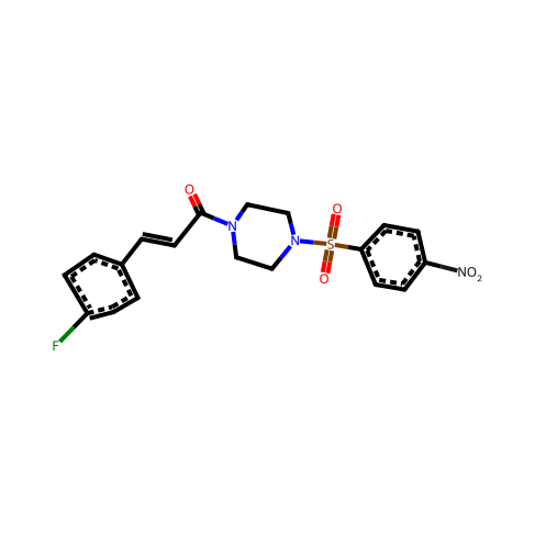 O=C(C=Cc1ccc(F)cc1)N1CCN(S(=O)(=O)c2ccc([N+](=O)[O-])cc2)CC1